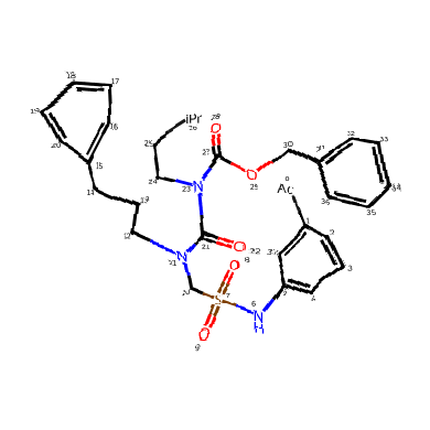 CC(=O)c1cccc(NS(=O)(=O)CN(CCCc2ccccc2)C(=O)N(CCC(C)C)C(=O)OCc2ccccc2)c1